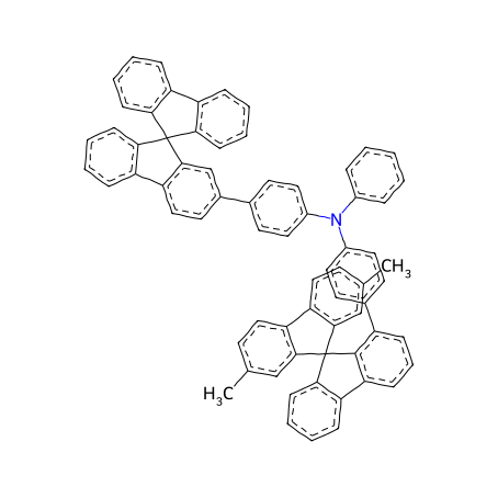 Cc1ccc2c(c1)C1(c3cc(C)ccc3-2)c2ccccc2-c2cccc(-c3ccc(N(c4ccccc4)c4ccc(-c5ccc6c(c5)C5(c7ccccc7-c7ccccc75)c5ccccc5-6)cc4)cc3)c21